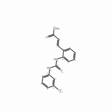 COC(=O)C=Cc1ccccc1NC(=O)Nc1cccc(C(F)(F)F)c1